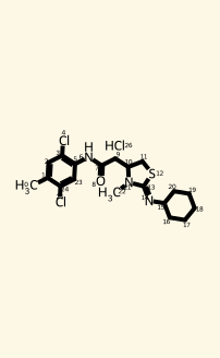 Cc1cc(Cl)c(NC(=O)CC2CS/C(=N\C3CCCCC3)N2C)cc1Cl.Cl